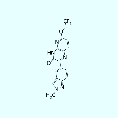 Cn1cc2cc(-c3nc4ccc(OCC(F)(F)F)nc4[nH]c3=O)ccc2n1